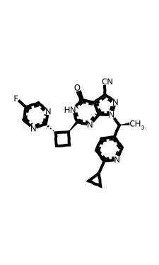 C[C@@H](c1ccc(C2CC2)nc1)n1nc(C#N)c2c(=O)[nH]c([C@H]3CC[C@@H]3c3ncc(F)cn3)nc21